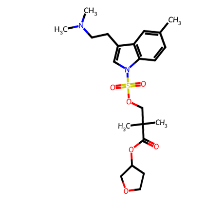 Cc1ccc2c(c1)c(CCN(C)C)cn2S(=O)(=O)OCC(C)(C)C(=O)OC1CCOC1